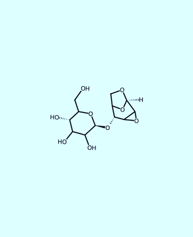 OCC1O[C@@H](O[C@@H]2C3CO[C@H](O3)C3OC32)C(O)C(O)[C@@H]1O